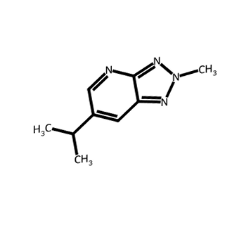 CC(C)c1cnc2nn(C)nc2c1